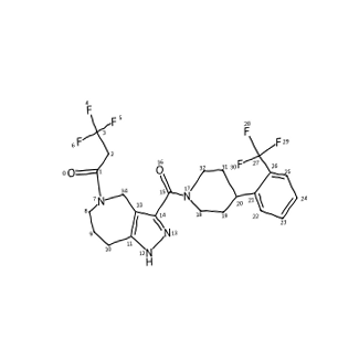 O=C(CC(F)(F)F)N1CCCc2[nH]nc(C(=O)N3CCC(c4ccccc4C(F)(F)F)CC3)c2C1